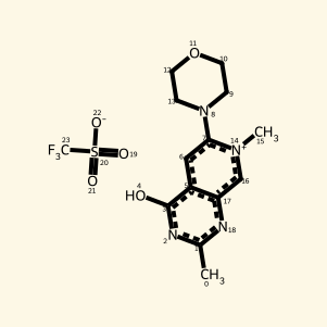 Cc1nc(O)c2cc(N3CCOCC3)[n+](C)cc2n1.O=S(=O)([O-])C(F)(F)F